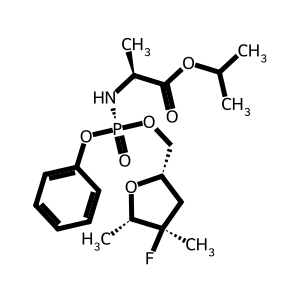 CC(C)OC(=O)[C@H](C)N[P@@](=O)(OC[C@@H]1C[C@@](C)(F)[C@H](C)O1)Oc1ccccc1